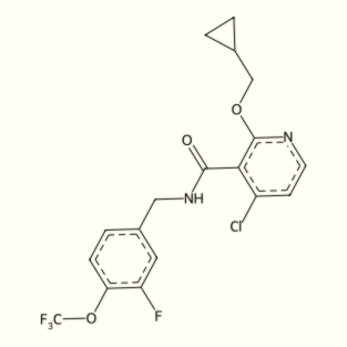 O=C(NCc1ccc(OC(F)(F)F)c(F)c1)c1c(Cl)ccnc1OCC1CC1